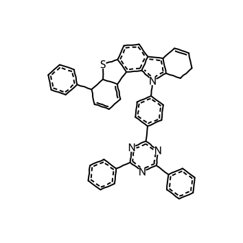 C1=CC(c2ccccc2)C2Sc3ccc4c5c(n(-c6ccc(-c7nc(-c8ccccc8)nc(-c8ccccc8)n7)cc6)c4c3C2=C1)CCC=C5